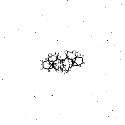 CC12CCC(C(C(=O)O)=C1C(=O)OC(=O)C1=C(C(=O)O)C3CCC1(C)C3(C)C)C2(C)C